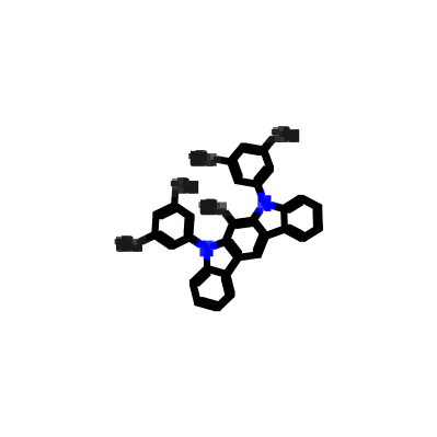 CC(C)(C)c1cc(-n2c3ccccc3c3cc4c5ccccc5n(-c5cc(C(C)(C)C)cc(C(C)(C)C)c5)c4c(C(C)(C)C)c32)cc(C(C)(C)C)c1